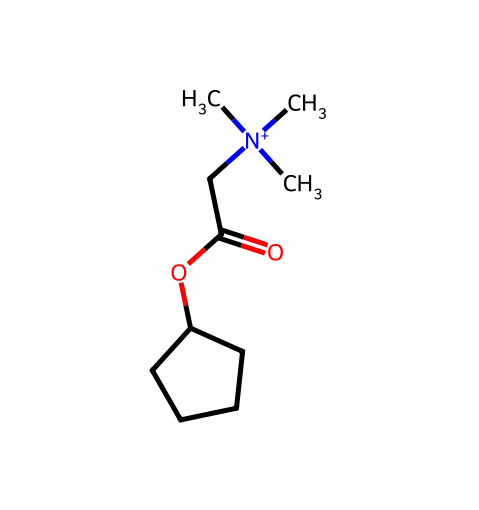 C[N+](C)(C)CC(=O)OC1CCCC1